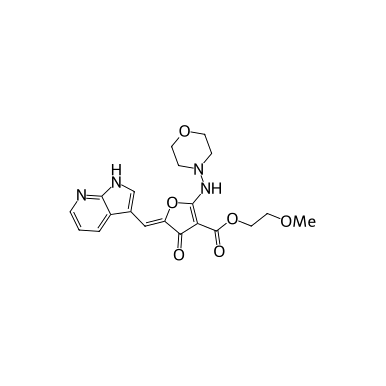 COCCOC(=O)C1=C(NN2CCOCC2)OC(=Cc2c[nH]c3ncccc23)C1=O